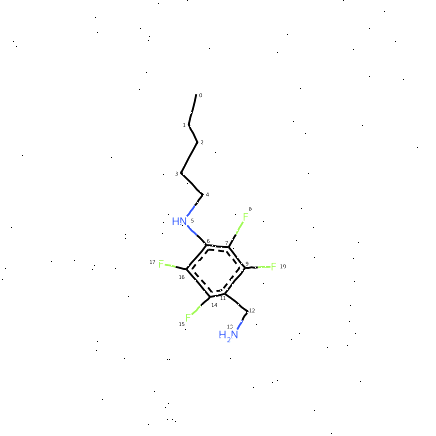 CCCCCNc1c(F)c(F)c(CN)c(F)c1F